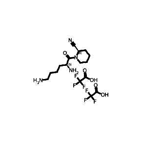 N#C[C@H]1CCCCN1C(=O)[C@@H](N)CCCCN.O=C(O)C(F)(F)F.O=C(O)C(F)(F)F